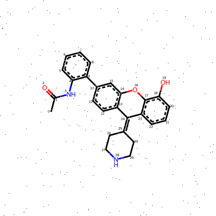 CC(=O)Nc1ccccc1-c1ccc2c(c1)Oc1c(O)cccc1C2=C1CCNCC1